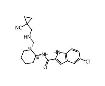 N#CC1(CNC[C@H]2CCCC[C@@H]2NC(=O)c2cc3cc(Cl)ccc3[nH]2)CC1